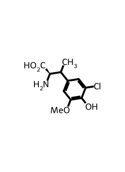 COc1cc(C(C)[C@@H](N)C(=O)O)cc(Cl)c1O